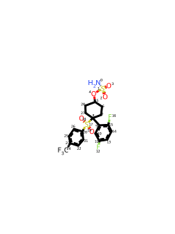 NS(=O)(=O)OC1CCC(c2cc(F)ccc2F)(S(=O)(=O)c2ccc(C(F)(F)F)cc2)CC1